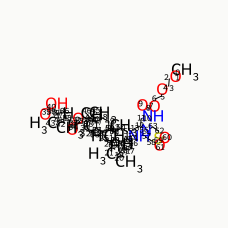 COCCOCCOC(=O)NCC(CN[C@]12CC[C@@H](C(C)C)[C@@H]1[C@H]1CC[C@@H]3[C@@]4(C)CC[C@H](OC(=O)[C@H]5C[C@@H](C(=O)O)C5(C)C)C(C)(C)[C@@H]4CC[C@@]3(C)[C@]1(C)CC2)N1CCS(=O)(=O)CC1